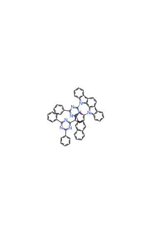 c1ccc(-c2nc(-c3ccccc3)nc(-c3ccc(-n4c5ccccc5c5ccc6c7ccccc7n(-c7nc(-c8ccccc8)nc(-c8ccc9ccccc9c8)n7)c6c54)cc3)n2)cc1